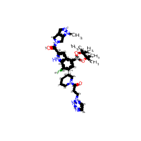 Cn1ncc2c1CN(C(=O)c1cc3c(B4OC(C)(C)C(C)(C)O4)cc([C@H]4CCCN(C(=O)CCn5ccnn5)C4)c(F)c3[nH]1)C2